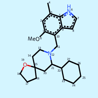 COc1cc(C)c2[nH]ccc2c1CN1CCC2(CCCO2)CC1C1CCCCC1